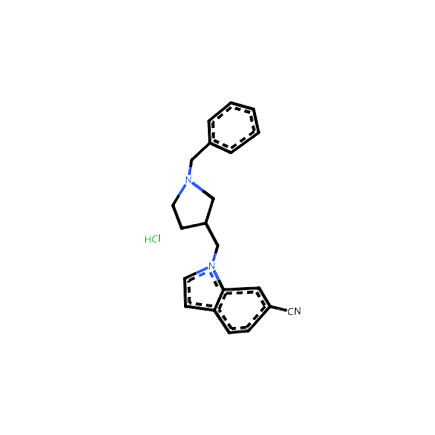 Cl.N#Cc1ccc2ccn(CC3CCN(Cc4ccccc4)C3)c2c1